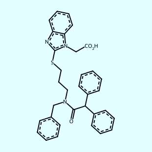 O=C(O)Cn1c(SCCCN(Cc2ccccc2)C(=O)C(c2ccccc2)c2ccccc2)nc2ccccc21